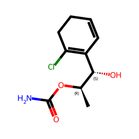 C[C@@H](OC(N)=O)[C@@H](O)C1=C(Cl)CCC=C1